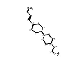 CCC=C[C@H]1CC[C@H]([C@H]2CC[C@H](OCC)CC2)CC1